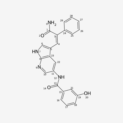 NC(=O)C(=Cc1c[nH]c2ncc(NC(=O)c3cccc(O)c3)cc12)c1ccccc1